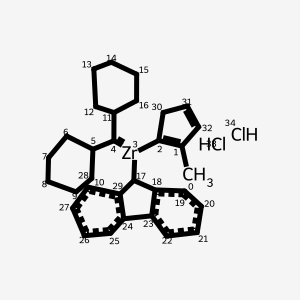 CC1=[C]([Zr](=[C](C2CCCCC2)C2CCCCC2)[CH]2c3ccccc3-c3ccccc32)CC=C1.Cl.Cl